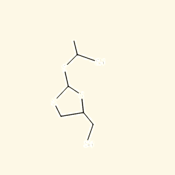 CC(S)SC1SCC(CS)S1